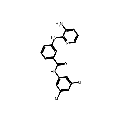 Nc1cccnc1Nc1cccc(C(=O)Nc2cc(Cl)cc(Cl)c2)c1